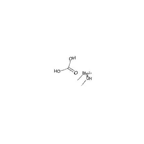 CO.O=C(O)O.[CH3][Mg+2]